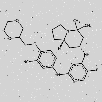 CC1(C)C[C@H](Nc2nc(Nc3ccc(OCC4COCCO4)c(C#N)c3)ncc2F)C[C@@H]2CCCN21